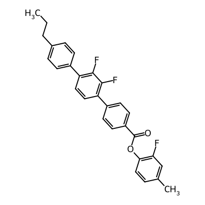 CCCc1ccc(-c2ccc(-c3ccc(C(=O)Oc4ccc(C)cc4F)cc3)c(F)c2F)cc1